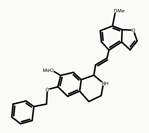 COc1cc2c(cc1OCc1ccccc1)CCNC2C=Cc1ccc(OC)c2occc12